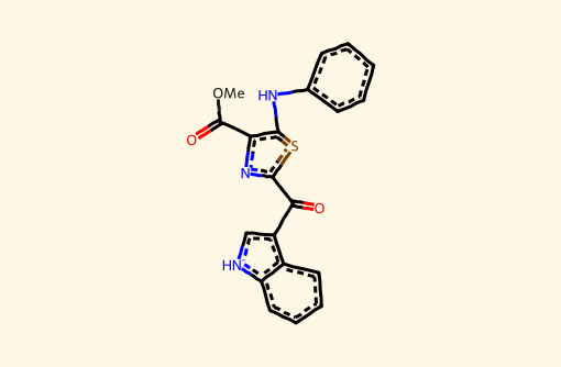 COC(=O)c1nc(C(=O)c2c[nH]c3ccccc23)sc1Nc1ccccc1